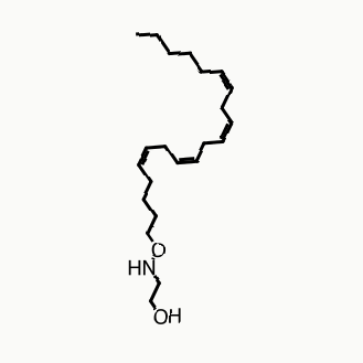 CCCCC/C=C\C/C=C\C/C=C\C/C=C\CCCCONCCO